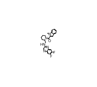 Cn1c(C(=O)N2CCCCC2CNc2cnc3cc(F)c(F)cc3n2)cc2ccccc21